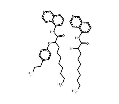 CCCCCCCCC(Br)C(=O)Nc1cccc2cnccc12.CCCCCCCCC(Oc1ccc(CCC)cc1)C(=O)Nc1cccc2cnccc12